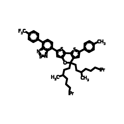 Cc1ccc(-c2cc3c(s2)-c2sc(-c4ccc(-c5ccc(C(F)(F)F)cc5)c5nsnc45)cc2OC3(CCC(C)CCCC(C)C)CCC(C)CCCC(C)C)cc1